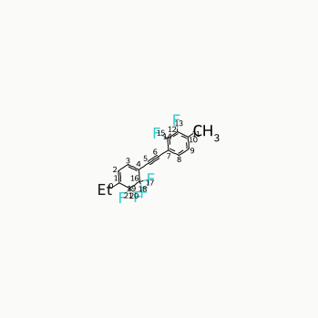 CCC1=CC=C(C#Cc2ccc(C)c(F)c2F)C(F)(F)C1(F)F